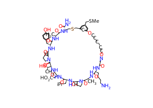 CSCc1cc2cc(c1)OCCCCCCO/N=C/C(=O)N[C@@H](CCCCN)C(=O)N[C@@H](C)C(=O)N1CCC[C@H]1C(=O)N[C@@H](CC(C)C)C(=O)N[C@@H](CC(=O)O)C(=O)N[C@@H]([C@@H](C)O)C(=O)N1CCC[C@H]1C(=O)N[C@@H](Cc1ccc(O)cc1)C(=O)N[C@@H](C)C(=O)N[C@H](C(N)=O)CSC2